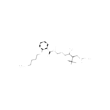 COCCCCOc1ccccc1C(=O)NCCCC(N)C(CNC(C)(C)C)C(C)(C)O